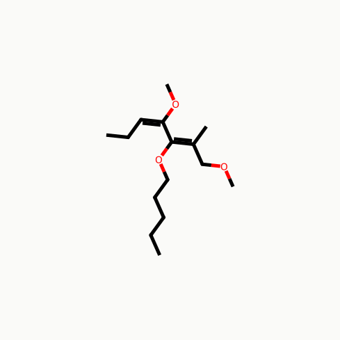 CC/C=C(OC)\C(OCCCCC)=C(/C)COC